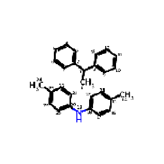 CC(c1ccccc1)c1ccccc1.Cc1ccc(Nc2ccc(C)cc2)cc1